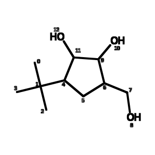 CC(C)(C)C1CC(CO)C(O)C1O